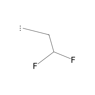 [C]CC(F)F